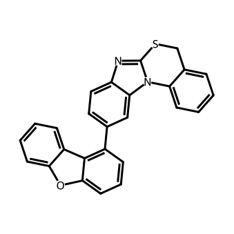 c1ccc2c(c1)CSc1nc3ccc(-c4cccc5oc6ccccc6c45)cc3n1-2